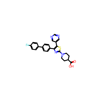 O=C(O)C1CCN(c2nc(-c3ccc(-c4ccc(F)cc4)cc3)c(-c3cncnc3)s2)CC1